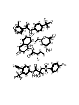 CC(O)(CS(=O)(=O)c1ccc(F)cc1)C(=O)Nc1ccc(C#N)c(C(F)(F)F)c1.CC[C@H](C)C(=O)O[C@H]1C[C@@H](C)C=C2C=C[C@H](C)[C@H](CC[C@@H]3C[C@@H](O)CC(=O)O3)[C@H]21.Cc1oncc1C(=O)Nc1ccc(C(F)(F)F)cc1